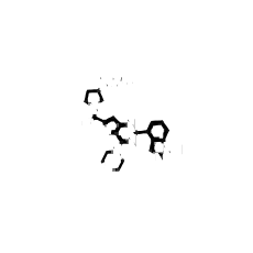 CNC1CCN(C(=O)c2cc3nc(-c4cccc5[nH]ncc45)nc(N4CCOCC4)c3s2)C1